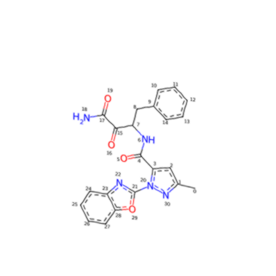 Cc1cc(C(=O)NC(Cc2ccccc2)C(=O)C(N)=O)n(-c2nc3ccccc3o2)n1